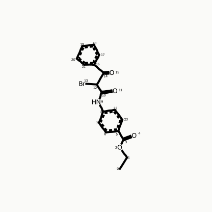 CCOC(=O)c1ccc(NC(=O)C(Br)C(=O)c2ccccc2)cc1